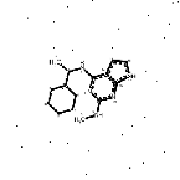 CNc1nc(N[C@H](C)C2CCCCC2)c2cc[nH]c2n1